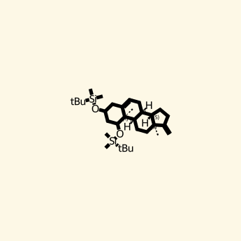 C=C1CC[C@H]2[C@@H]3CC=C4CC(O[Si](C)(C)C(C)(C)C)CC(O[Si](C)(C)C(C)(C)C)[C@]4(C)[C@@H]3CC[C@]12C